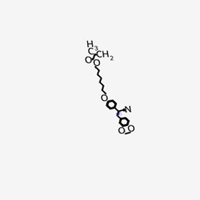 C=C(C)C(=O)OCCCCCCCCOc1ccc(/C(C#N)=C/c2ccc3c(c2)OCCO3)cc1